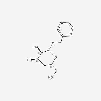 OC[C@@H]1C[C@@H](O)[C@@H](O)C(OCc2ccccc2)O1